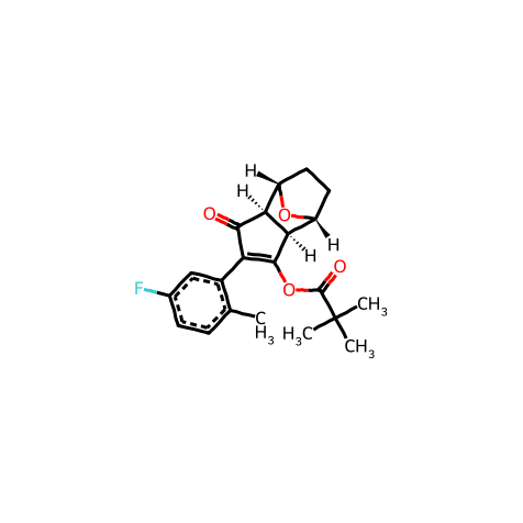 Cc1ccc(F)cc1C1=C(OC(=O)C(C)(C)C)[C@H]2[C@@H](C1=O)[C@@H]1CC[C@H]2O1